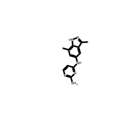 Nc1nccc(Nc2cc(I)c3[nH]nc(I)c3c2)n1